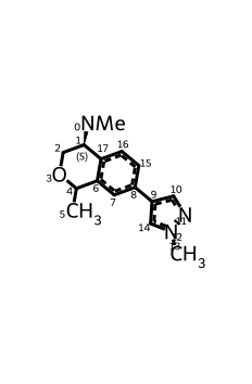 CN[C@@H]1COC(C)c2cc(-c3cnn(C)c3)ccc21